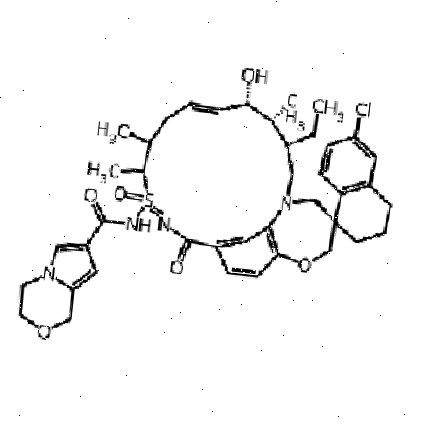 CC[C@H]1CN2C[C@@]3(CCCc4cc(Cl)ccc43)COc3ccc(cc32)C(=O)N=S(=O)(NC(=O)c2cc3n(c2)CCOC3)C(C)[C@@H](C)C/C=C/[C@H](O)[C@@H]1C